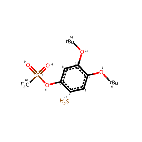 CC(C)(C)Oc1ccc(OS(=O)(=O)C(F)(F)F)cc1OC(C)(C)C.S